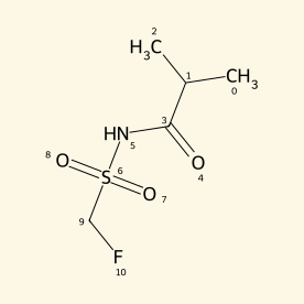 CC(C)C(=O)NS(=O)(=O)CF